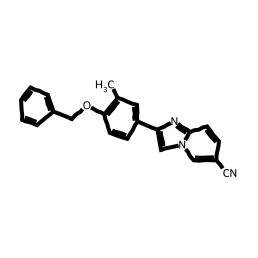 Cc1cc(-c2cn3cc(C#N)ccc3n2)ccc1OCc1ccccc1